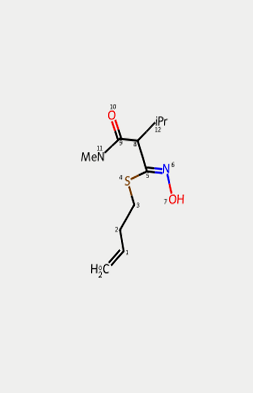 C=CCCSC(=NO)C(C(=O)NC)C(C)C